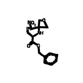 CC(C)CC(NC1(C[N+](=O)[O-])COC1)C(=O)OCc1ccccc1